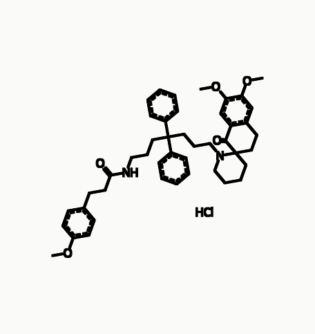 COc1ccc(CCC(=O)NCCCC(CCCN2CCCCC23CCc2cc(OC)c(OC)cc2C3=O)(c2ccccc2)c2ccccc2)cc1.Cl